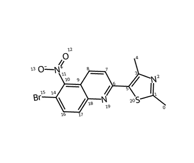 Cc1nc(C)c(-c2ccc3c([N+](=O)[O-])c(Br)ccc3n2)s1